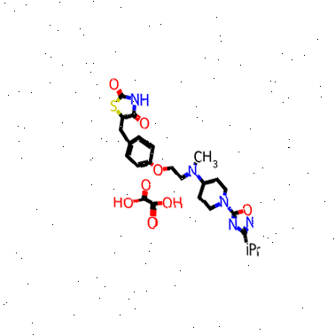 CC(C)c1noc(N2CCC(N(C)CCOc3ccc(CC4SC(=O)NC4=O)cc3)CC2)n1.O=C(O)C(=O)O